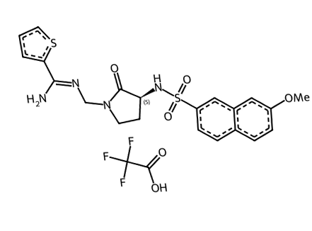 COc1ccc2ccc(S(=O)(=O)N[C@H]3CCN(CN=C(N)c4cccs4)C3=O)cc2c1.O=C(O)C(F)(F)F